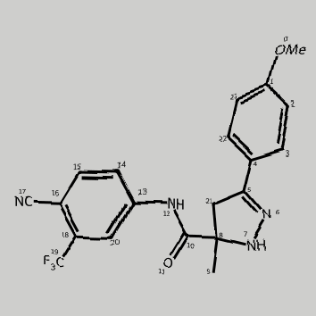 COc1ccc(C2=NNC(C)(C(=O)Nc3ccc(C#N)c(C(F)(F)F)c3)C2)cc1